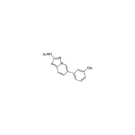 CC(=O)Nc1nc2ccc(-c3cccc(O)c3)cn2n1